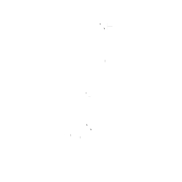 CC(C)C(=O)NCCOCCOCCN